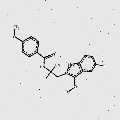 CCOc1c2cc(Cl)ccc2nn1CC(C)(C#N)NC(=O)c1ccc(OC(F)(F)F)cc1